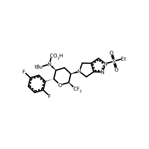 CCS(=O)(=O)n1cc2c(n1)CN([C@@H]1C[C@H](N(C(=O)O)C(C)(C)C)[C@@H](c3cc(F)ccc3F)O[C@@H]1C(F)(F)F)C2